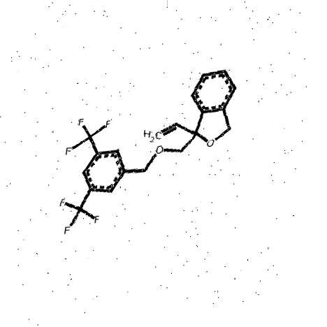 C=CC1(COCc2cc(C(F)(F)F)cc(C(F)(F)F)c2)OCc2ccccc21